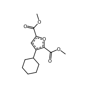 COC(=O)c1cc(C2CCCCC2)c(C(=O)OC)o1